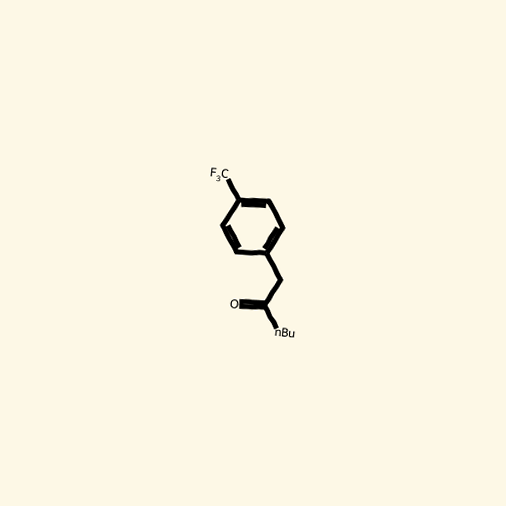 CCCCC(=O)Cc1ccc(C(F)(F)F)cc1